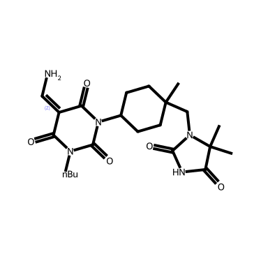 CCCCN1C(=O)/C(=C/N)C(=O)N(C2CCC(C)(CN3C(=O)NC(=O)C3(C)C)CC2)C1=O